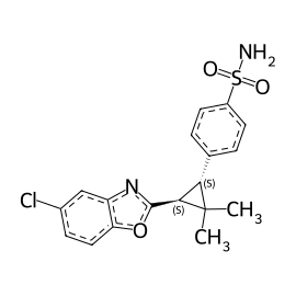 CC1(C)[C@@H](c2ccc(S(N)(=O)=O)cc2)[C@@H]1c1nc2cc(Cl)ccc2o1